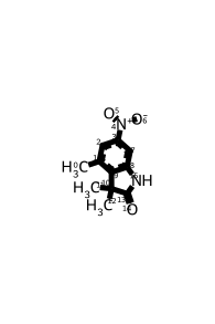 Cc1cc([N+](=O)[O-])cc2c1C(C)(C)C(=O)N2